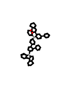 c1ccc(-c2ccc(N(c3ccccc3)c3ccc(-c4ccc(-n5c6ccccc6c6c7ccccc7ccc65)cc4-c4ccccc4)cc3)c(-c3ccc4ccccc4c3)c2)cc1